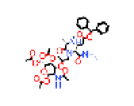 CN[C@@H](C)C(=O)N(CC(C)O[C@@H]1[C@@H](NC(C)=O)[C@@H](OC(C)=O)O[C@H](COC(C)=O)[C@H]1OC(C)=O)[C@H](CCC(=O)OC(c1ccccc1)c1ccccc1)C(N)=O